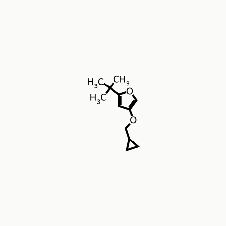 CC(C)(C)c1cc(OCC2CC2)co1